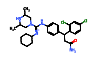 CC1CN(/C(=N\C2CCCCC2)Nc2ccc(C(CC(N)=O)c3ccc(Cl)cc3Cl)cc2)CC(C)N1